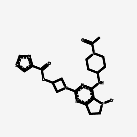 CC(=O)N1CCC(Nc2nc(N3CC(OC(=O)c4cscn4)C3)nc3c2[S+]([O-])CC3)CC1